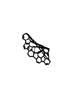 FC12C3=C4C5=C6C7C8C=CC9C%10C=CC%11c%12ccc%13c%14c(c4c4c(c%12%14)C%11C%10C(=C54)C97)C1(F)C%13CCC2C1C=CC8C6C31